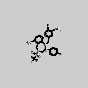 Cc1cccc2c1CN(S(=O)(=O)C(F)(F)F)C[C@H](c1ccc(F)cc1)N2Cc1cc(N)c(F)cn1